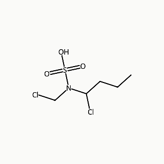 CCCC(Cl)N(CCl)S(=O)(=O)O